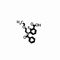 CCOCCN(C(=O)c1ccccc1)c1cccc(C(=O)O)c1F